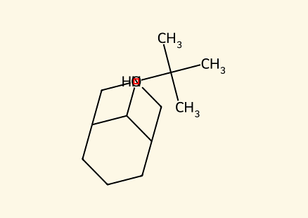 CC(C)(C)NC1C2CCCC1COC2